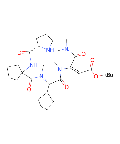 CN(C)C(=O)/C(=C\C(=O)OC(C)(C)C)N(C)C(=O)[C@H](C1CCCC1)N(C)C(=O)C1(NC(=O)[C@@H]2CCCN2)CCCC1